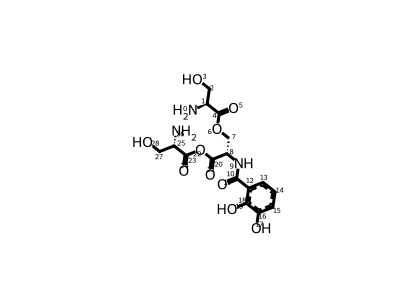 N[C@@H](CO)C(=O)OC[C@H](NC(=O)c1cccc(O)c1O)C(=O)OC(=O)[C@@H](N)CO